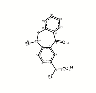 CCC(C(=O)O)c1ccc2c(c1)C(=O)c1ccccc1CN2CC